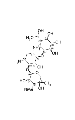 CN[C@@H]1[C@@H](O)[C@@H](O[C@@H]2[C@@H](O)[C@H](O[C@H]3O[C@H](C(C)O)[C@@H](O)[C@H](O)[C@H]3O)[C@@H](N)C[C@H]2N)OC[C@]1(C)O